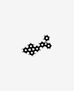 c1ccc(-n2c3ccccc3c3cc(-c4ccc5c(c4)c4cccc6c7ccccc7c7cccc5c7c64)ccc32)cc1